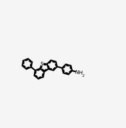 Nc1ccc(-c2ccc3sc4c(-c5ccccc5)cccc4c3c2)cc1